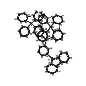 c1ccc(C2(c3ccc(N(c4cccc(-n5c6ccccc6c6ccccc65)c4)c4cccc5c4C4(c6ccccc6-c6ccccc64)c4ccccc4-5)cc3)c3ccccc3-c3ccccc32)cc1